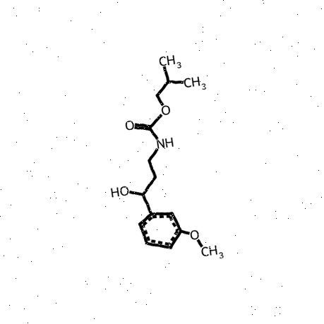 COc1cccc(C(O)CCNC(=O)OCC(C)C)c1